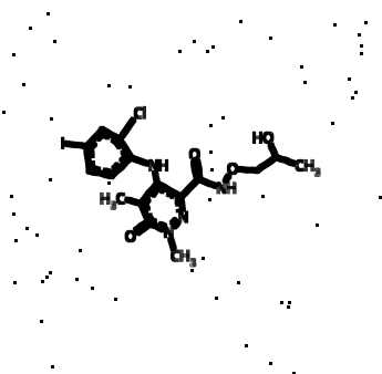 Cc1c(Nc2ccc(I)cc2Cl)c(C(=O)NOCC(C)O)nn(C)c1=O